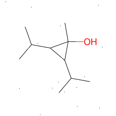 CC(C)C1C(C(C)C)C1(C)O